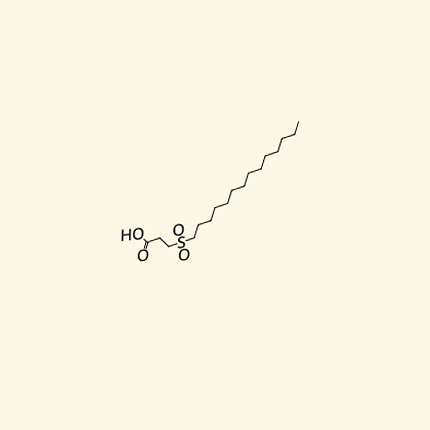 CCCCCCCCCCCCCCS(=O)(=O)CCC(=O)O